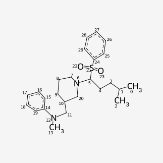 CC(C)CCC(N1CCCC(CN(C)c2ccccc2)C1)S(=O)(=O)c1ccccc1